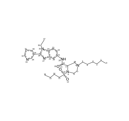 CCCCCCN1CCN(S(=O)(=O)CCCC)C(C(=O)Nc2ccc3c(c2)nc(-c2cccnc2)n3CC)C1